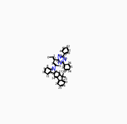 C/C=C(\C=C(/C)n1c2ccccc2c2cc3c(cc21)C(C)(C)c1ccccc1-3)c1nc(-c2ccccc2)nc(-c2ccccc2)n1